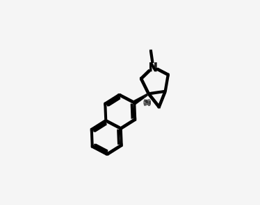 CN1CC2C[C@]2(c2ccc3ccccc3c2)C1